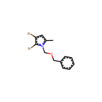 Cc1cc(Br)c(Br)n1COCc1ccccc1